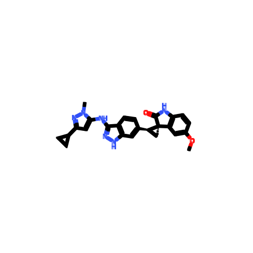 COc1ccc2c(c1)[C@]1(C[C@H]1c1ccc3c(Nc4cc(C5CC5)nn4C)n[nH]c3c1)C(=O)N2